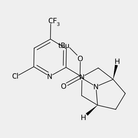 CC(C)(C)OC(=O)N1[C@@H]2CC[C@H]1CN(c1cc(C(F)(F)F)cc(Cl)n1)C2